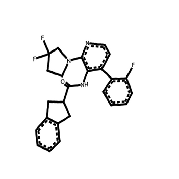 O=C(Nc1c(-c2ccccc2F)ccnc1N1CCC(F)(F)C1)C1Cc2ccccc2C1